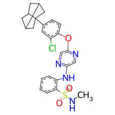 CNS(=O)(=O)c1ccccc1Nc1cnc(Oc2ccc(C34CC5CC3CC5C4)cc2Cl)cn1